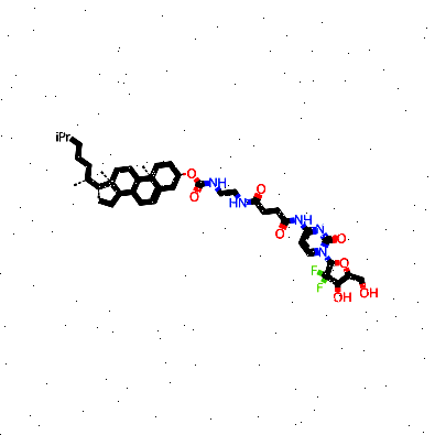 CC(C)CCC[C@@H](C)[C@H]1CCC2C3CC=C4C[C@@H](OC(=O)NCCNC(=O)CCC(=O)Nc5ccn(C6OC(CO)C(O)C6(F)F)c(=O)n5)CC[C@]4(C)C3CC[C@@]21C